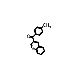 Cc1ccc(C(=O)c2cnc3ccccc3c2)cc1